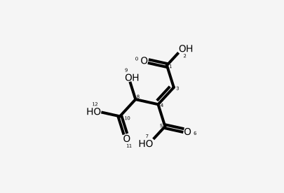 O=C(O)/C=C(/C(=O)O)C(O)C(=O)O